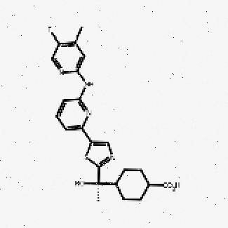 Cc1cc(Nc2cccc(-c3cnc([C@](C)(O)C4CCC(C(=O)O)CC4)s3)n2)ncc1F